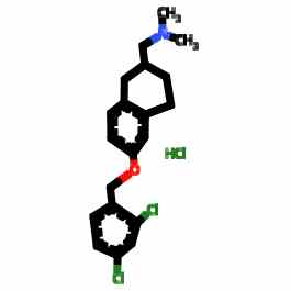 CN(C)CC1CCc2cc(OCc3ccc(Cl)cc3Cl)ccc2C1.Cl